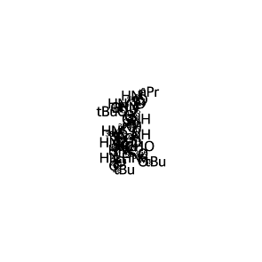 CCCC(=O)N[C@@H](CCNC(=O)OC(C)(C)C)C(=O)NCC(=O)N[C@@H](CCNC(=O)OC(C)(C)C)C(=O)NCC(=O)N[C@@H](C)C(=O)N[C@@H](CCNC(=O)OC(C)(C)C)C(=O)N[C@H](C=O)CCNC(=O)OC(C)(C)C